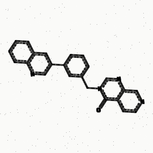 O=c1c2ccncc2ncn1Cc1cccc(-c2cnc3ccccc3c2)c1